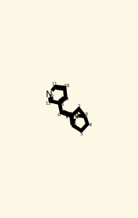 C(=C1CC2CCC1N2)c1cccnc1